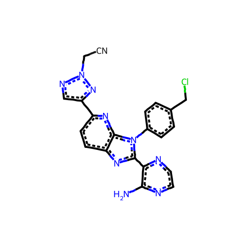 N#CCn1ncc(-c2ccc3nc(-c4nccnc4N)n(-c4ccc(CCl)cc4)c3n2)n1